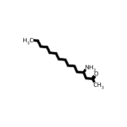 CCCCCCCCCCCC(N)CC(C)=O